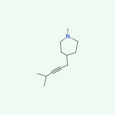 CC(C)C#CCC1CCN(C)CC1